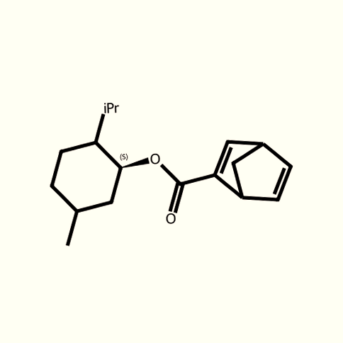 CC1CCC(C(C)C)[C@@H](OC(=O)C2=CC3C=CC2C3)C1